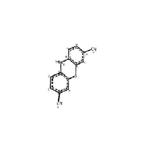 N#Cc1ccc2c(c1)Sc1cc(C#N)ccc1N2